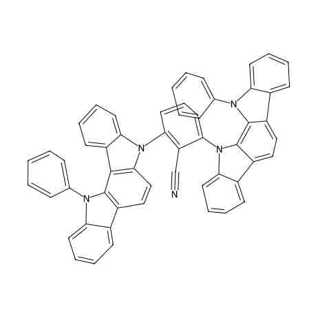 N#Cc1c(-n2c3ccccc3c3c2ccc2c4ccccc4n(-c4ccccc4)c23)cccc1-n1c2ccccc2c2ccc3c4ccccc4n(-c4ccccc4)c3c21